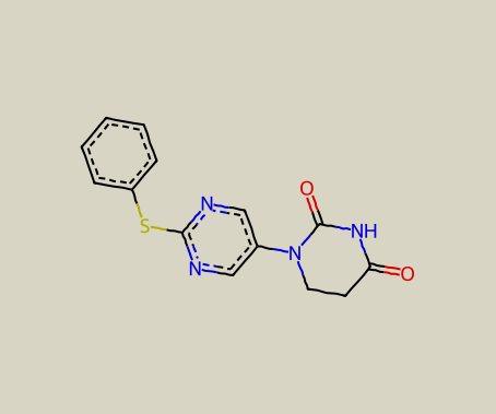 O=C1CCN(c2cnc(Sc3ccccc3)nc2)C(=O)N1